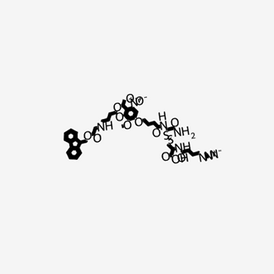 COc1cc(C(C)OC(=O)CCCNCC(=O)OCC2c3ccccc3-c3ccccc32)c([N+](=O)[O-])cc1OCCCC(=O)NC(SSCC(NC(=O)CCCN=[N+]=[N-])C(=O)O)C(N)=O